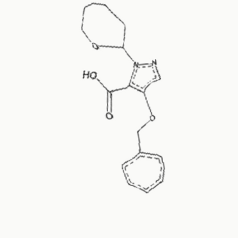 O=C(O)c1c(OCc2ccccc2)cnn1C1CCCCO1